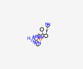 C[C@@H](NC(=O)c1c(N)nn2cccnc12)c1[nH]c2cccc(C#Cc3cnn(C)c3)c2c1-c1ccccc1